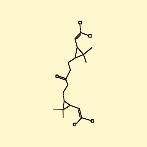 CC1(C)C(C=C(Cl)Cl)C1CCC(=O)CCC1C(C=C(Cl)Cl)C1(C)C